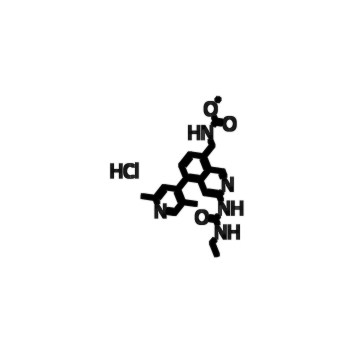 CCNC(=O)Nc1cc2c(-c3cc(C)ncc3C)ccc(CNC(=O)OC)c2cn1.Cl